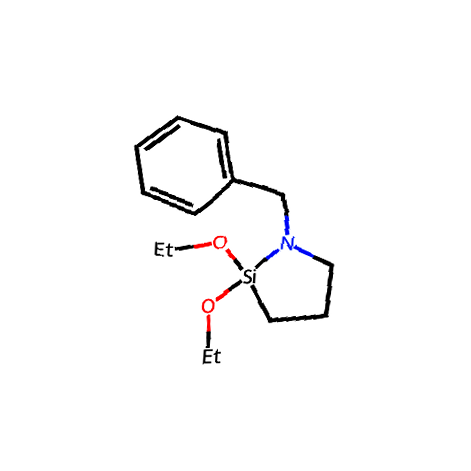 CCO[Si]1(OCC)CCCN1Cc1ccccc1